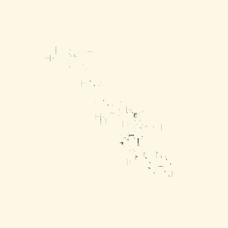 CC(C)(COP(=O)(O)OP(=O)(O)OC[C@H]1O[C@@H](n2cnc3c(N)ncnc32)[C@H](O)[C@@H]1OP(=O)(O)O)[C@@H](O)C(=O)NCCC(=O)NCCSC1O[C@H](CO)[C@@H](O)[C@H]1O